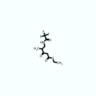 CCOC(=O)CC(=O)C(C)CNC(=O)C(F)(F)F